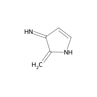 C=C1NC=CC1=N